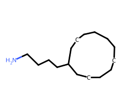 NCCCCC1CCCCCCCCCCC1